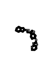 c1ccc2c(c1)CC(NCc1coc3cc(Oc4nc5ncccc5s4)ccc13)C2